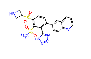 NS(=O)(=O)c1c(S(=O)(=O)C2CNC2)ccc(-c2ccc3ncccc3c2)c1-c1nnn[nH]1